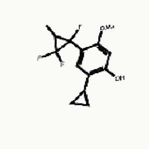 COc1cc(O)c(C2CC2)cc1C1(F)C(C)C1(F)F